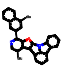 CC(C)(C)c1cc(-c2ncc(C(C)(C)C)c3c2oc2c3c3cccc4c5ccccc5n2c43)cc2ccccc12